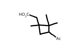 CC(=O)C1CC(C)(CC(=O)O)C1(C)C